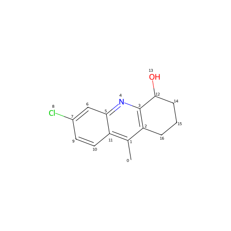 Cc1c2c(nc3cc(Cl)ccc13)C(O)CCC2